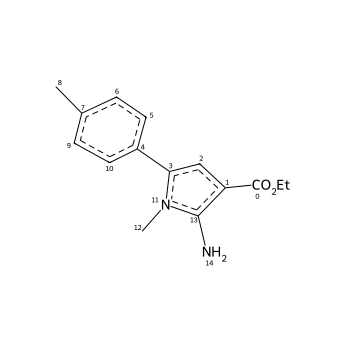 CCOC(=O)c1cc(-c2ccc(C)cc2)n(C)c1N